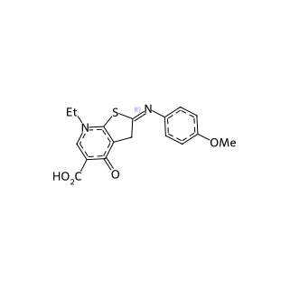 CCn1cc(C(=O)O)c(=O)c2c1S/C(=N/c1ccc(OC)cc1)C2